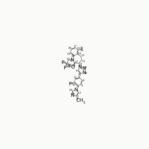 Cc1cn(-c2ccc(-c3cn(C4CCc5c(F)cccc5N(CC(F)(F)F)C4=O)nn3)cc2F)cn1